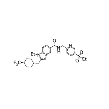 CCn1c(C[C@H]2CC[C@H](C(F)(F)F)CC2)cc2cc(C(=O)NCc3ccc(S(=O)(=O)CC)cn3)ccc21